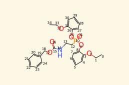 CCOc1ccccc1OP(=O)(CCNC(=O)OCc1ccccc1)Oc1ccccc1OCC